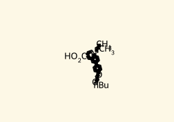 CCCCOCCOc1ccc(-c2ccc3c(c2)C=C(C(=O)O)CCN3CC=C(C)C)cc1